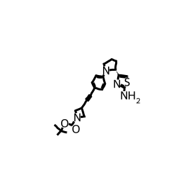 CC(C)(C)OC(=O)N1CC(C#Cc2ccc(N3CCC[C@@H]3c3csc(N)n3)cc2)C1